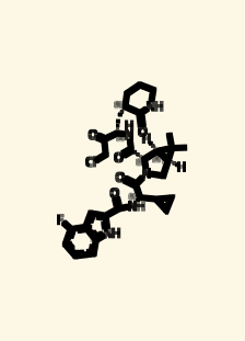 CC1(C)[C@@H]2[C@@H](C(=O)N[C@@H](C[C@@H]3CCCNC3=O)C(=O)CCl)N(C(=O)[C@@H](NC(=O)c3cc4c(F)cccc4[nH]3)C3CC3)C[C@@H]21